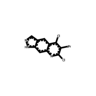 CC(C)c1c(Cl)nc2cc3[nH]ncc3cc2c1Cl